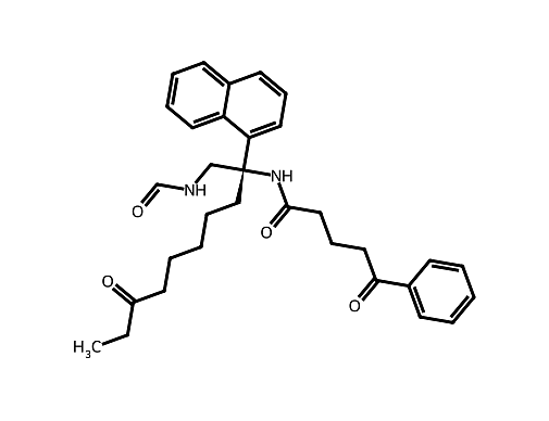 CCC(=O)CCCCC[C@](CNC=O)(NC(=O)CCCC(=O)c1ccccc1)c1cccc2ccccc12